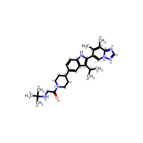 Cc1c(-c2[nH]c3ccc(C4CCN(C(=O)CNC(C)(C)C)CC4)cc3c2C(C)C)cn2ncnc2c1C